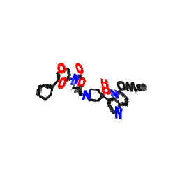 COc1ccc2nccc(C3(O)CCN(C[C@H]4CN(C5=COC=C(C6=CC=CCC6)O5)C(=O)O4)CC3)c2n1